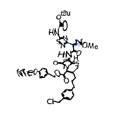 CO/N=C(\C(=O)N[C@@H]1C(=O)N2C(C(=O)OCc3ccc(OC)cc3)=C(CCCc3ccc(CCl)cc3)CS[C@H]12)c1nsc(NC(=O)OC(C)(C)C)n1